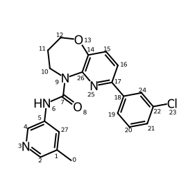 Cc1cncc(NC(=O)N2CCCOc3ccc(-c4cccc(Cl)c4)nc32)c1